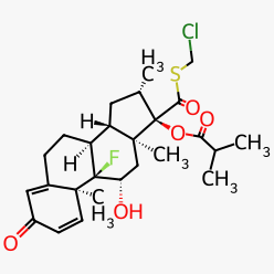 CC(C)C(=O)O[C@]1(C(=O)SCCl)[C@@H](C)C[C@H]2[C@@H]3CCC4=CC(=O)C=C[C@]4(C)[C@@]3(F)[C@@H](O)C[C@@]21C